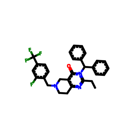 CCc1nc2c(c(=O)n1C(c1ccccc1)c1ccccc1)CN(Cc1ccc(C(F)(F)F)cc1F)CC2